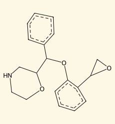 c1ccc(C(Oc2ccccc2C2CO2)C2CNCCO2)cc1